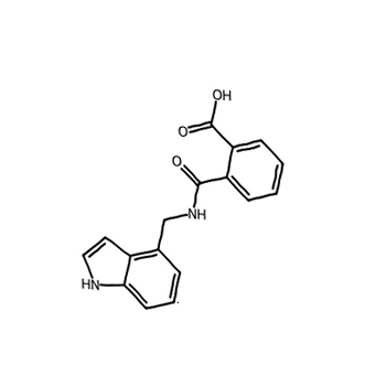 O=C(O)c1ccccc1C(=O)NCc1c[c]cc2[nH]ccc12